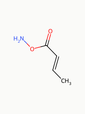 C/C=C/C(=O)ON